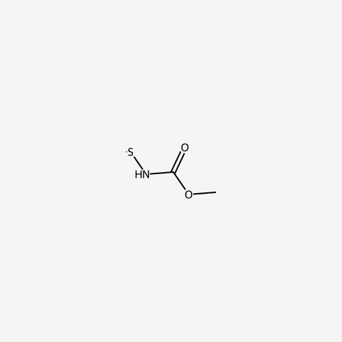 COC(=O)N[S]